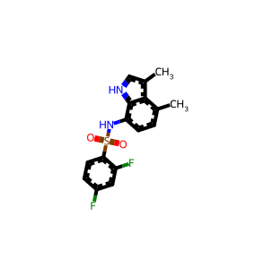 Cc1ccc(NS(=O)(=O)c2ccc(F)cc2F)c2[nH]cc(C)c12